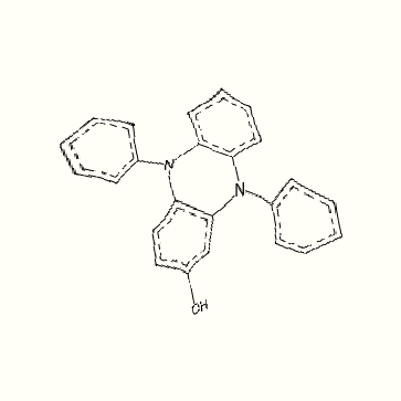 Oc1ccc2c(c1)N(c1ccccc1)c1ccccc1N2c1ccccc1